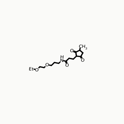 CCOCCOCCCNC(=O)CCC1C(=O)CC(C)C1=O